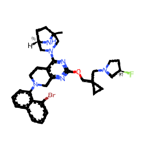 CC12CC[C@@H](CN(c3nc(OCC4(CN5CC[C@@H](F)C5)CC4)nc4c3CCN(c3cccc5cccc(Br)c35)C4)C1)N2